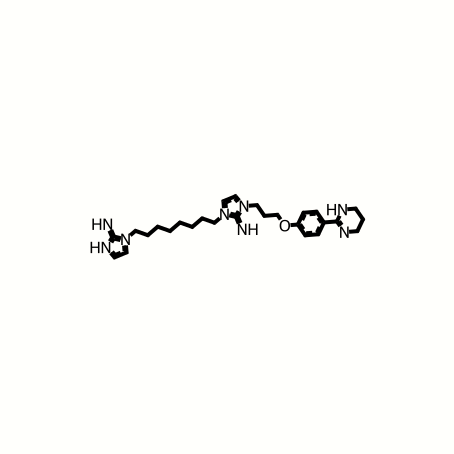 N=c1[nH]ccn1CCCCCCCCn1ccn(CCCOc2ccc(C3=NCCCN3)cc2)c1=N